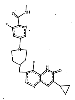 CNC(=O)c1ncc(N2CCN(Cc3cnc4cc(C5CC5)c(=O)[nH]c4c3F)CC2)cc1F